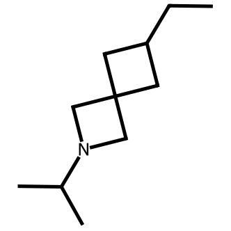 CCC1CC2(C1)CN(C(C)C)C2